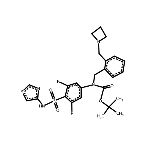 CC(C)(C)OC(=O)N(Cc1ccccc1CN1CCC1)c1cc(F)c(S(=O)(=O)Nc2cscn2)c(F)c1